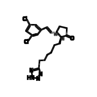 O=C1CC[C@@H](C=Cc2cc(Cl)cc(Cl)c2)[C@@H]1CCCCCCc1nn[nH]n1